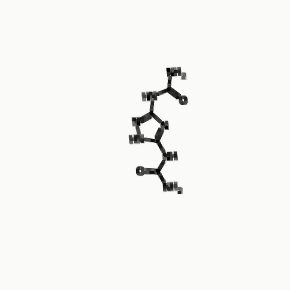 NC(=O)Nc1n[nH]c(NC(N)=O)n1